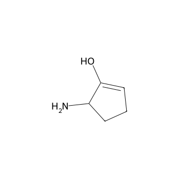 NC1CCC=C1O